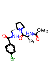 COC(=O)N[C@H](C(=O)N1CCC[C@H]1CNC(=O)c1ccc(Br)cc1)C(C)C